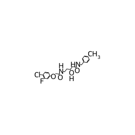 Cc1ccc(CNC(=O)CC(O)CCNC(=O)COc2ccc(Cl)c(F)c2)cc1